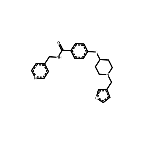 O=C(NCc1ccncc1)c1ccc(OC2CCN(Cc3ccoc3)CC2)cc1